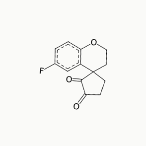 O=C1CCC2(CCOc3ccc(F)cc32)C1=O